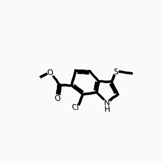 COC(=O)c1ccc2c(SC)c[nH]c2c1Cl